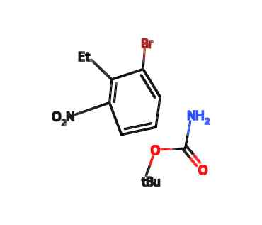 CC(C)(C)OC(N)=O.CCc1c(Br)cccc1[N+](=O)[O-]